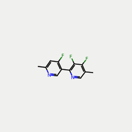 Cc1cc(F)c(-c2ncc(C)c(F)c2F)cn1